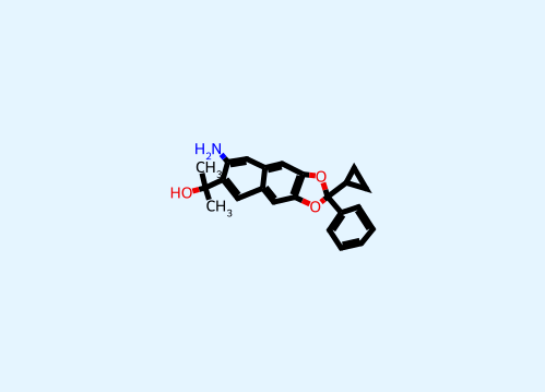 CC(C)(O)c1cc2cc3c(cc2cc1N)OC(c1ccccc1)(C1CC1)O3